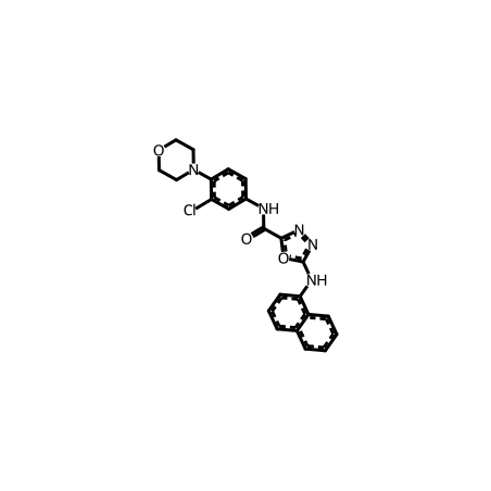 O=C(Nc1ccc(N2CCOCC2)c(Cl)c1)c1nnc(Nc2cccc3ccccc23)o1